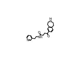 O=C(CCC(=O)c1ccc2c(c1)CCNCC2)NCCc1cccnc1